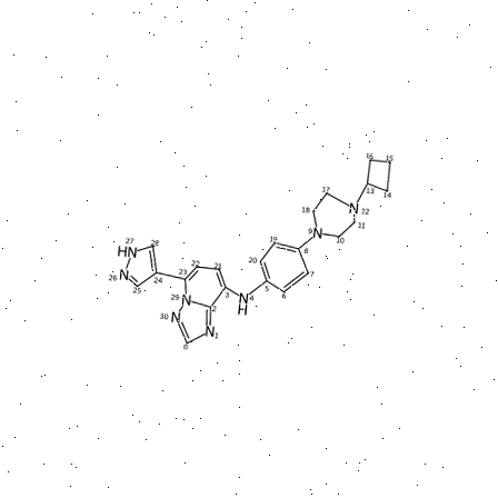 c1nc2c(Nc3ccc(N4CCN(C5CCC5)CC4)cc3)ccc(-c3cn[nH]c3)n2n1